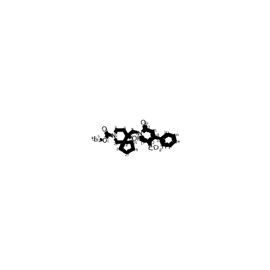 CC(C)(C)OC(=O)N1CCC(O)(Cn2cc(C(=O)O)c(-c3ccccc3)cc2=O)C2(CCCC2)C1